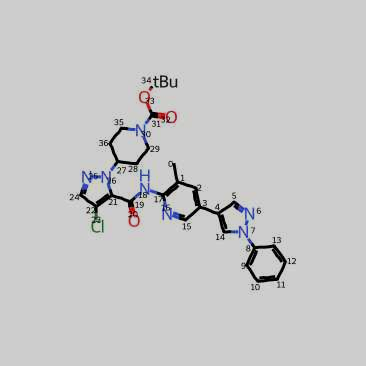 Cc1cc(-c2cnn(-c3ccccc3)c2)cnc1NC(=O)c1c(Cl)cnn1C1CCN(C(=O)OC(C)(C)C)CC1